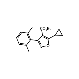 CCOC(=O)c1c(-c2c(C)cccc2C)noc1C1CC1